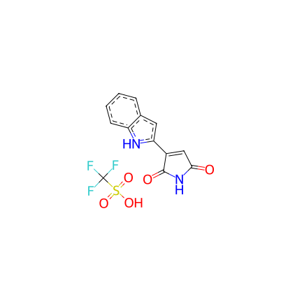 O=C1C=C(c2cc3ccccc3[nH]2)C(=O)N1.O=S(=O)(O)C(F)(F)F